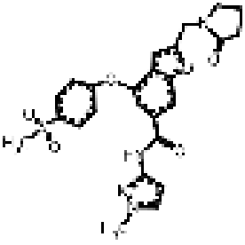 Cn1ccc(NC(=O)c2cc(Oc3ccc(S(C)(=O)=O)cc3)c3cc(CN4CCCC4=O)oc3c2)n1